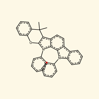 CC1(C)c2ccccc2Oc2c1c1ccc3c4ccccc4n(-c4ccccc4)c3c1n2-c1ccccc1